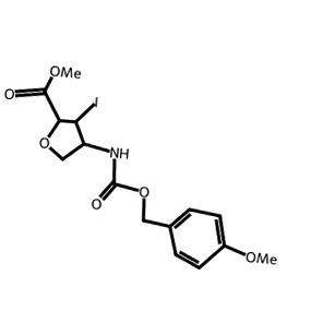 COC(=O)C1OCC(NC(=O)OCc2ccc(OC)cc2)C1I